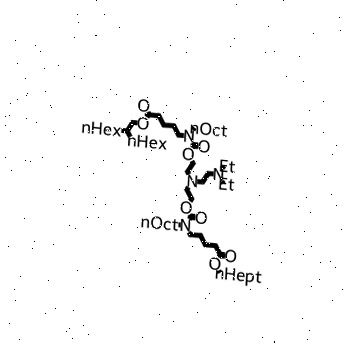 CCCCCCCCN(CCCCC(=O)OCCCCCCC)C(=O)OCCN(CCOC(=O)N(CCCCCCCC)CCCCC(=O)OCC(CCCCCC)CCCCCC)CCN(CC)CC